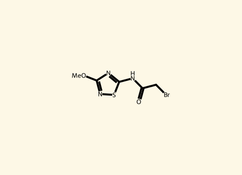 COc1nsc(NC(=O)CBr)n1